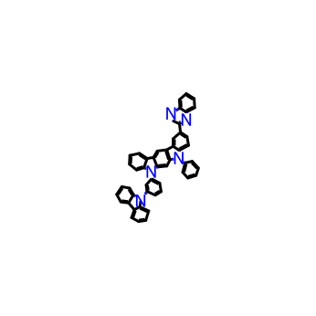 c1ccc(-n2c3ccc(-c4cnc5ccccc5n4)cc3c3cc4c5ccccc5n(-c5cccc(-n6c7ccccc7c7ccccc76)c5)c4cc32)cc1